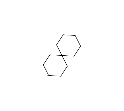 [CH]1CCC2(CC1)CCCCC2